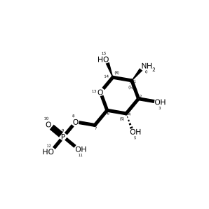 N[C@H]1C(O)[C@H](O)C(COP(=O)(O)O)O[C@H]1O